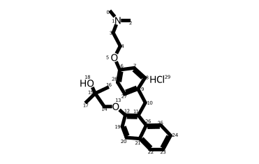 CN(C)CCOc1ccc(Cc2c(OCC(C)(C)O)ccc3ccccc23)cc1.Cl